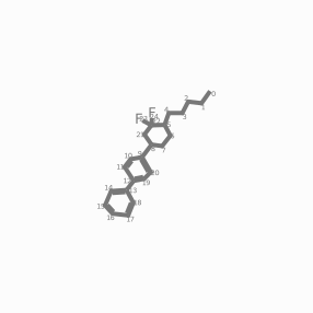 CCCCCC1CCC(c2ccc(-c3ccccc3)cc2)CC1(F)F